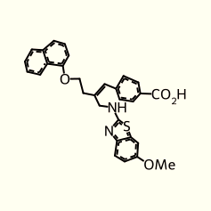 COc1ccc2nc(NCC(=Cc3ccc(C(=O)O)cc3)CCOc3cccc4ccccc34)sc2c1